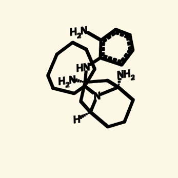 Nc1ccccc1N[C@]1(N)C[C@@H]2CCC[C@](N)(C1)N2C1CCCCCCC1